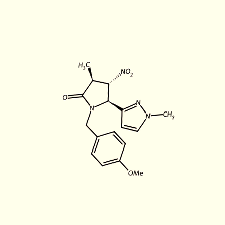 COc1ccc(CN2C(=O)[C@@H](C)[C@H]([N+](=O)[O-])[C@H]2c2ccn(C)n2)cc1